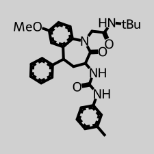 COc1ccc2c(c1)C(c1ccccc1)CC(NC(=O)Nc1cccc(C)c1)C(=O)N2CC(=O)NC(C)(C)C